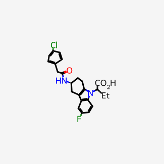 CCC(C(=O)O)n1c2c(c3cc(F)ccc31)C[C@@H](NC(=O)Cc1ccc(Cl)cc1)CC2